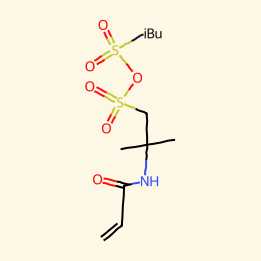 C=CC(=O)NC(C)(C)CS(=O)(=O)OS(=O)(=O)C(C)CC